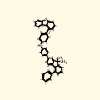 CC1(C)c2cc(-c3ccc(Nc4ccc(-c5cccc6oc7ccccc7c56)cc4)cc3)ccc2-c2c(-c3ccccc3)cccc21